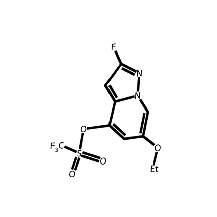 CCOc1cc(OS(=O)(=O)C(F)(F)F)c2cc(F)nn2c1